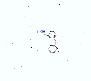 CC(C)(C)NCc1cccc(Oc2ccccc2)c1